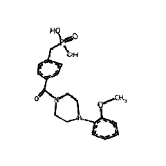 COc1ccccc1N1CCN(C(=O)c2ccc(CP(=O)(O)O)cc2)CC1